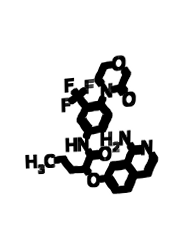 CCCC(Oc1ccc2ccnc(N)c2c1)C(=O)Nc1ccc(N2CCOCC2=O)c(C(F)(F)F)c1